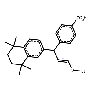 CCO/C=C/C(c1ccc(C(=O)O)cc1)c1ccc2c(c1)C(C)(C)CCC2(C)C